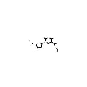 CCOC(=O)c1cn([C@H]2C[C@@H](O)[C@H](CO)O2)c(=O)nc1N